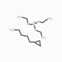 CCCCCC1CC1.CCO[SiH](OCC)OCC